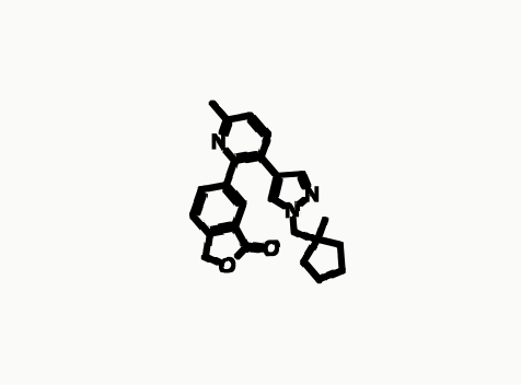 Cc1ccc(-c2cnn(CC3(C)CCCC3)c2)c(-c2ccc3c(c2)C(=O)OC3)n1